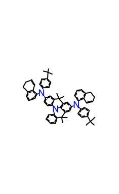 CC(C)(C)c1ccc(N(c2ccc3c(c2)C(C)(C)c2cc(N(c4ccc(C(C)(C)C)cc4)c4cccc5c4C=CCC5)cc4c2N3c2ccccc2C4(C)C)c2cccc3c2C=CCC3)cc1